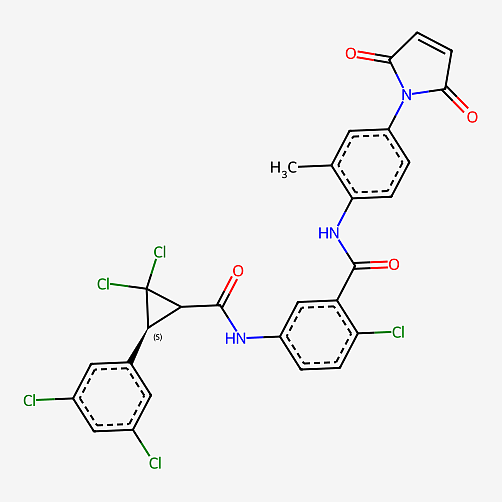 Cc1cc(N2C(=O)C=CC2=O)ccc1NC(=O)c1cc(NC(=O)C2[C@@H](c3cc(Cl)cc(Cl)c3)C2(Cl)Cl)ccc1Cl